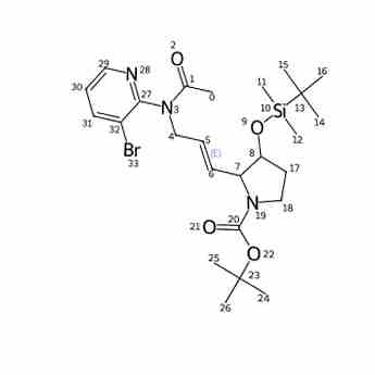 CC(=O)N(C/C=C/C1C(O[Si](C)(C)C(C)(C)C)CCN1C(=O)OC(C)(C)C)c1ncccc1Br